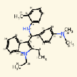 CCc1c(C(Nc2ccccc2C)c2ccc(N(C)C)cc2)c2ccccc2n1CC